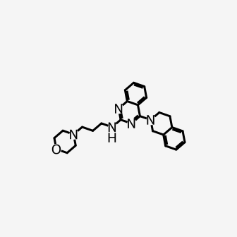 c1ccc2c(c1)CCN(c1nc(NCCCN3CCOCC3)nc3ccccc13)C2